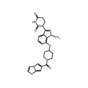 Cn1nc(C2CCC(=O)NC2=O)c2cccc(OC3CCN(C(=O)c4cc5sccn5c4)CC3)c21